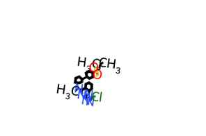 CC(C)CS(=O)(=O)c1ccc(-c2cccc(N(C)c3nc4nnc(Cl)n4c4ccccc34)c2)cc1